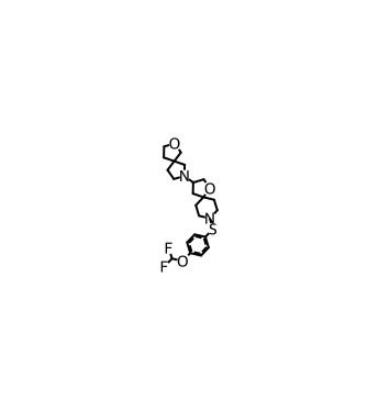 FC(F)Oc1ccc(SN2CCC3(CC2)CC(N2CCC4(CCOC4)C2)CO3)cc1